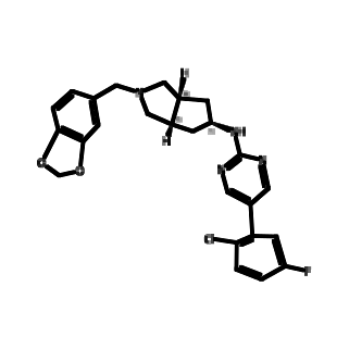 Fc1ccc(Cl)c(-c2cnc(N[C@H]3C[C@@H]4CN(Cc5ccc6c(c5)OCO6)C[C@@H]4C3)nc2)c1